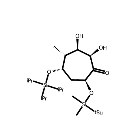 CC(C)[Si](O[C@H]1C[C@H](O[Si](C)(C)C(C)(C)C)C(=O)[C@H](O)[C@H](O)[C@H]1C)(C(C)C)C(C)C